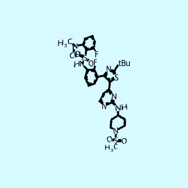 CN(C)c1cccc(F)c1S(=O)(=O)Nc1cccc(-c2nc(C(C)(C)C)sc2-c2ccnc(NC3CCN(S(C)(=O)=O)CC3)n2)c1F